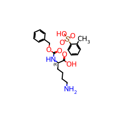 Cc1ccccc1S(=O)(=O)O.NCCCC[C@@H](NC(=O)OCc1ccccc1)C(=O)O